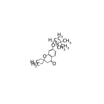 CCC1(CC)CC(=O)c2ccc(O[Si](C)(C)C(C)(C)C)cc2O1